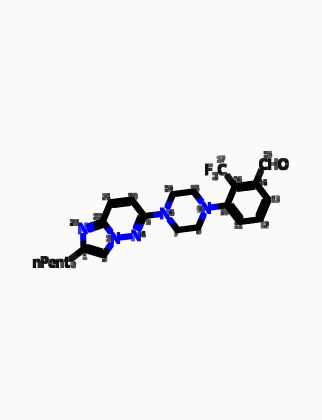 CCCCCc1cn2nc(N3CCN(c4cccc(C=O)c4C(F)(F)F)CC3)ccc2n1